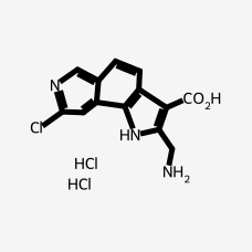 Cl.Cl.NCc1[nH]c2c(ccc3cnc(Cl)cc32)c1C(=O)O